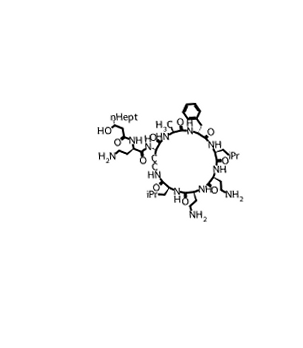 CCCCCCC[C@@H](O)CC(=O)N[C@H](CCN)C(=O)N[C@H]1CCNC(=O)[C@H](CC(C)C)NC(=O)[C@H](CCN)NC(=O)[C@H](CCN)NC(=O)[C@H](CC(C)C)NC(=O)[C@@H](Cc2ccccc2)NC(=O)[C@H](C)NC1=O